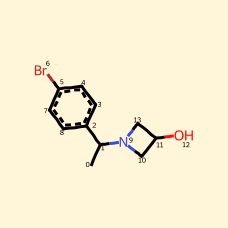 CC(c1ccc(Br)cc1)N1CC(O)C1